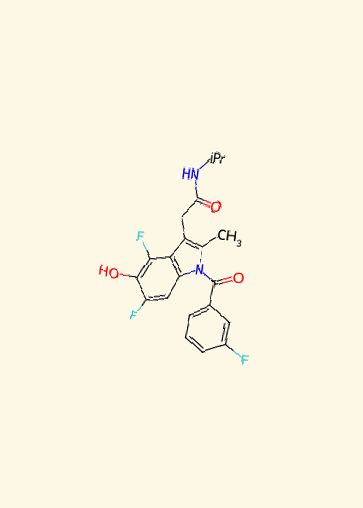 Cc1c(CC(=O)NC(C)C)c2c(F)c(O)c(F)cc2n1C(=O)c1cccc(F)c1